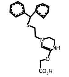 O=C(O)COC1=CN(CCSC(c2ccccc2)c2ccccc2)CCN1